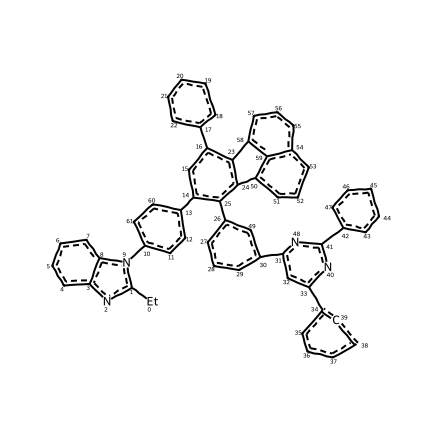 CCc1nc2ccccc2n1-c1ccc(-c2cc(-c3ccccc3)c3c(c2-c2cccc(-c4cc(-c5ccccc5)nc(-c5ccccc5)n4)c2)-c2cccc4cccc-3c24)cc1